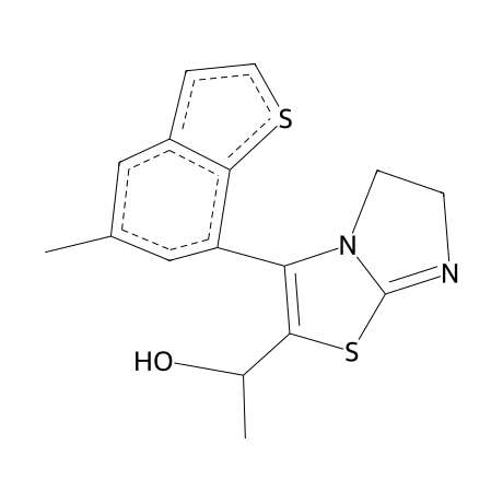 Cc1cc(C2=C(C(C)O)SC3=NCCN32)c2sccc2c1